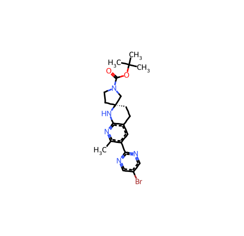 Cc1nc2c(cc1-c1ncc(Br)cn1)CC[C@@]1(CCN(C(=O)OC(C)(C)C)C1)N2